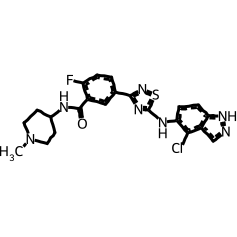 CN1CCC(NC(=O)c2cc(-c3nsc(Nc4ccc5[nH]ncc5c4Cl)n3)ccc2F)CC1